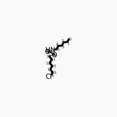 CCCCCCNS(=O)(=O)CCCCCCCl